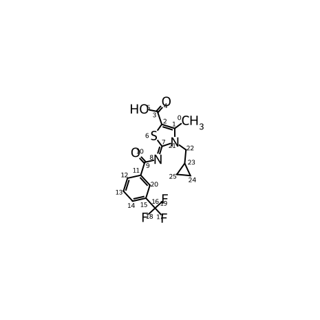 Cc1c(C(=O)O)sc(=NC(=O)c2cccc(C(F)(F)F)c2)n1CC1CC1